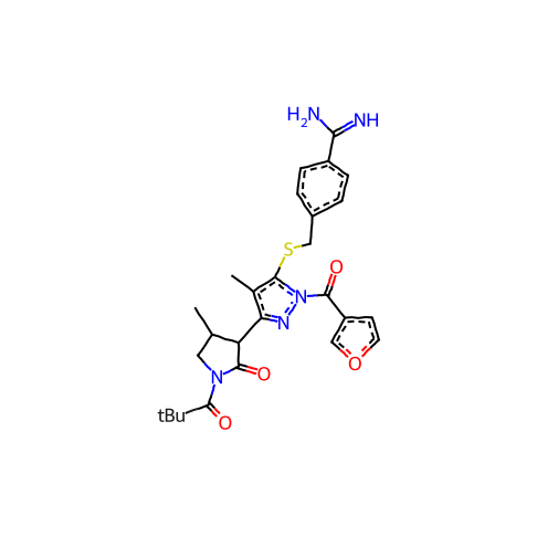 Cc1c(C2C(=O)N(C(=O)C(C)(C)C)CC2C)nn(C(=O)c2ccoc2)c1SCc1ccc(C(=N)N)cc1